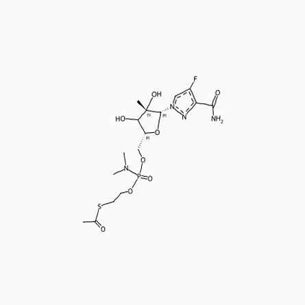 CC(=O)SCCOP(=O)(OC[C@H]1O[C@@H](n2cc(F)c(C(N)=O)n2)[C@@](C)(O)C1O)N(C)C